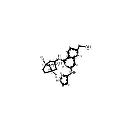 O=C(O)N1[C@@H]2CC[C@H]1CC(Nc1nc(Nc3cc[nH]n3)cc3nc(CO)ccc13)C2